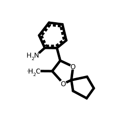 [CH2]C1OC2(CCCC2)OC1c1ccccc1N